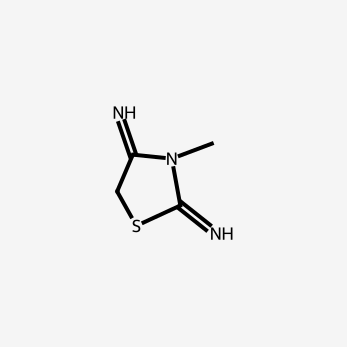 CN1C(=N)CSC1=N